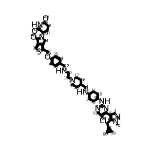 Cn1ncc(-c2nc(N[C@H]3CC[C@H](NCC4CCN(CCNCc5ccc(OCc6scc7c6CN([C@H]6CCC(=O)NC6=O)C7=O)cc5)CC4)CC3)ncc2Cl)c1CC1CC1